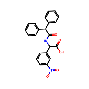 O=C(O)C(NC(=O)C(c1ccccc1)c1ccccc1)c1cccc([N+](=O)[O-])c1